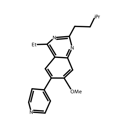 CCc1nc(CCC(C)C)nc2cc(OC)c(-c3ccncc3)cc12